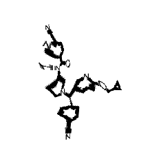 N#Cc1ccc([C@H](c2ccc(OCC3CC3)nc2)N2CCC(NC(=O)c3ccc(C#N)nc3)C2)cc1